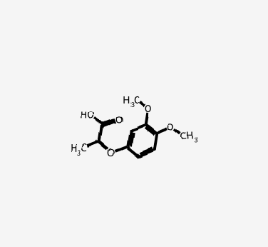 COc1ccc(OC(C)C(=O)O)cc1OC